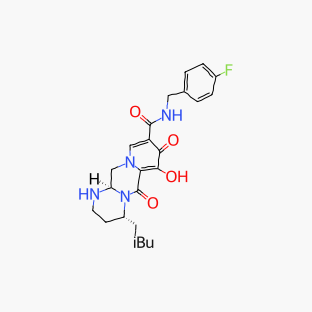 CCC(C)C[C@@H]1CCN[C@H]2Cn3cc(C(=O)NCc4ccc(F)cc4)c(=O)c(O)c3C(=O)N12